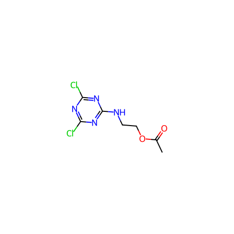 CC(=O)OCCNc1nc(Cl)nc(Cl)n1